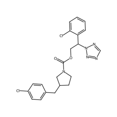 O=C(OCC(c1ccccc1Cl)n1ncnn1)N1CCC(Cc2ccc(Cl)cc2)C1